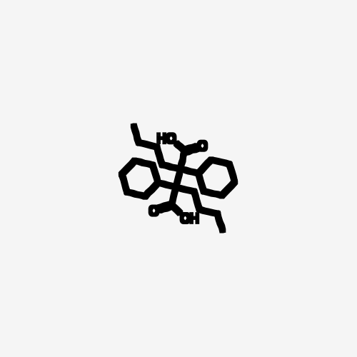 CCCCC(C(=O)O)(C1CCCCC1)C(CCCC)(C(=O)O)C1CCCCC1